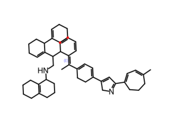 CC1=CC=C(C2=NCC(C3=CC=C(/C(C)=C4\C=CC=CC4C(CNC4CCCC5=C4CCCC5)C4=CCCCC4C4=CCCCC4)CC3)=C2)CCC1